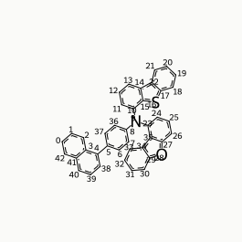 c1ccc2c(-c3ccc(N(c4cccc5c4sc4ccccc45)c4cccc5oc6ccccc6c45)cc3)cccc2c1